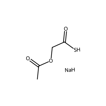 CC(=O)OCC(=O)S.[NaH]